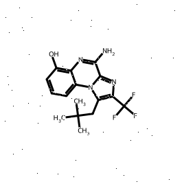 CC(C)(C)Cc1c(C(F)(F)F)nc2c(N)nc3c(O)cccc3n12